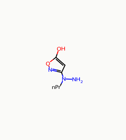 CCCN(N)c1cc(O)on1